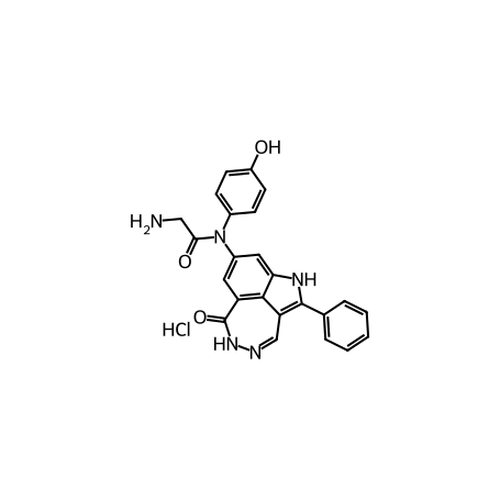 Cl.NCC(=O)N(c1ccc(O)cc1)c1cc2c3c(c(-c4ccccc4)[nH]c3c1)C=NNC2=O